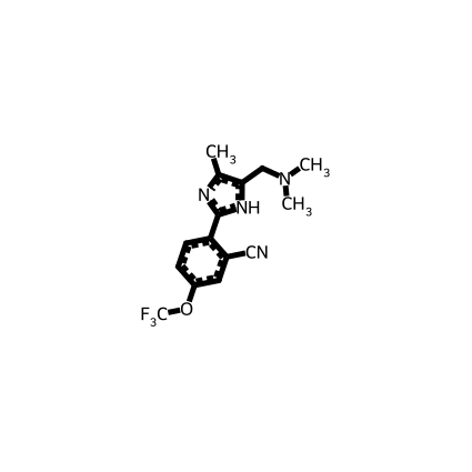 Cc1nc(-c2ccc(OC(F)(F)F)cc2C#N)[nH]c1CN(C)C